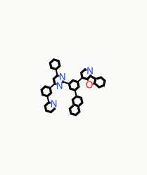 c1ccc(-c2cc(-c3cccc(-c4ccccn4)c3)nc(-c3cc(-c4ccc5ccccc5c4)cc(-c4ccnc5c4oc4ccccc45)c3)n2)cc1